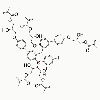 C=C(C)C(=O)OCC(O)COc1ccc(-c2ccc(OCC(O)COC(=O)C(=C)C)c(C(c3cc(-c4ccc(OCC(O)COC(=O)C(=C)C)cc4)ccc3OCC(O)COC(=O)C(=C)C)c3cc(I)cc(I)c3OCC(O)COC(=O)C(=C)C)c2)cc1